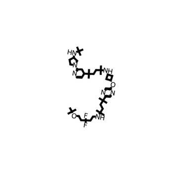 CC(C)(C)NC1CCN(C2=NC=CC(C(C)(C)CCC(C)(C)N[C@H]3C[C@H](Oc4cnc(C(C)(C)CCC(C)(C)NCCC(F)(F)CCOC(C)(C)C)cn4)C3)C2)C1